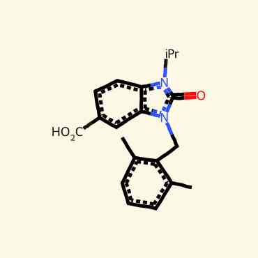 Cc1cccc(C)c1Cn1c(=O)n(C(C)C)c2ccc(C(=O)O)cc21